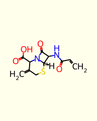 C=CC(=O)NC1C(=O)N2C(C(=O)O)C(=C)CS[C@@H]12